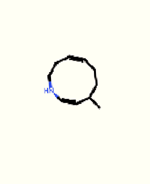 CC1/C=C\NCC/C=C\CC1